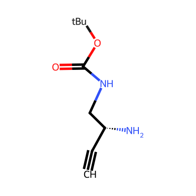 C#C[C@@H](N)CNC(=O)OC(C)(C)C